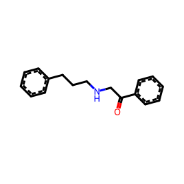 O=C(CNCCCc1ccccc1)c1ccccc1